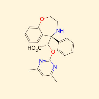 Cc1cc(C)nc(O[C@H](C(=O)O)[C@@]2(c3ccccc3)NCCOc3ccccc32)n1